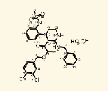 CC(OCc1ccc(Cl)c(Cl)c1)C(=O)C1C(NCc2ccccc2)NCCN1c1ccccc1NS(C)(=O)=O.Cl.Cl